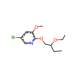 CCOC(CC)COc1ncc(Br)cc1OC